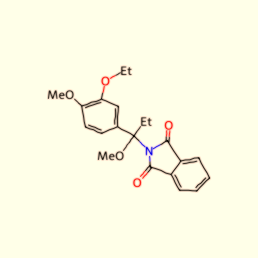 CCOc1cc(C(CC)(OC)N2C(=O)c3ccccc3C2=O)ccc1OC